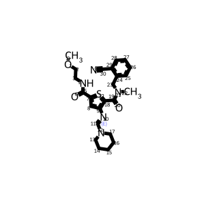 COCCNC(=O)c1cc(/N=C/N2CCCCC2)c(C(=O)N(C)Cc2ccccc2C#N)s1